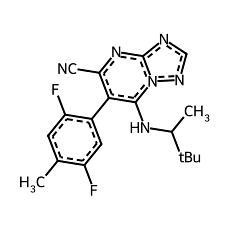 Cc1cc(F)c(-c2c(C#N)nc3ncnn3c2NC(C)C(C)(C)C)cc1F